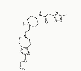 Cc1nc(CC(=O)N[C@H]2CC[C@](F)(CCN3CCc4nc(OCC(F)(F)F)sc4CC3)CC2)no1